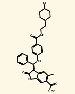 COC(=O)c1cc2c(cc1C)/C(=C(\Nc1ccc(C(=O)NCCN3CCC(O)CC3)cc1)c1ccccc1)C(=O)N2